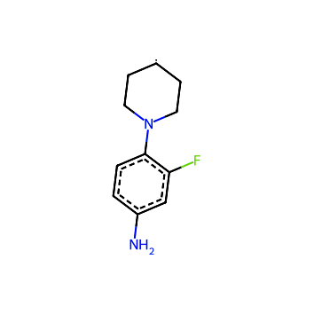 Nc1ccc(N2CC[CH]CC2)c(F)c1